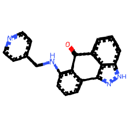 O=C1c2c(NCc3ccncc3)cccc2-c2n[nH]c3cccc1c23